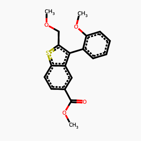 COCc1sc2ccc(C(=O)OC)cc2c1-c1ccccc1OC